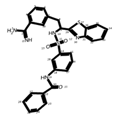 N=C(N)c1cccc(CC(NS(=O)(=O)c2cccc(NC(=O)c3ccccc3)c2)c2nc3ccccc3s2)c1